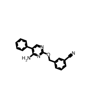 N#Cc1cccc(COc2ncc(-c3ccccc3)c(N)n2)c1